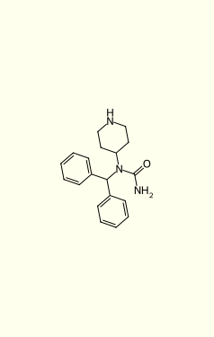 NC(=O)N(C1CCNCC1)C(c1ccccc1)c1ccccc1